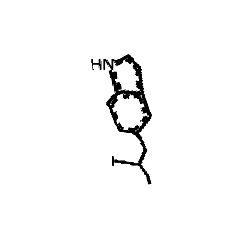 CC(I)Cc1ccc2[nH]ccc2c1